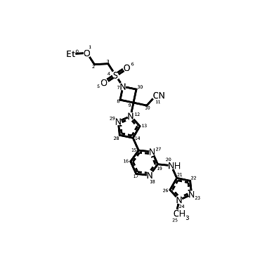 CCOCCS(=O)(=O)N1CC(CC#N)(n2cc(-c3ccnc(Nc4cnn(C)c4)n3)cn2)C1